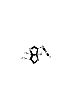 N#C[C@H]1CO[C@H]2[C@@H]1OC[C@@H]2N=C=O